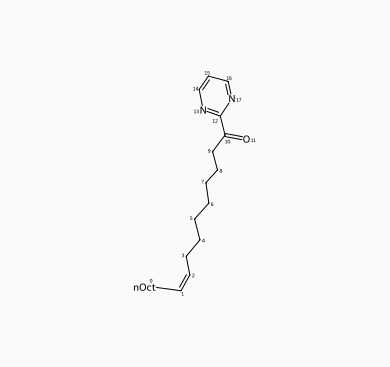 CCCCCCCC/C=C\CCCCCCCC(=O)c1ncccn1